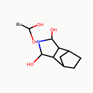 CCC(C)C(O)ON1C(O)C2C3CCC(C3)C2C1O